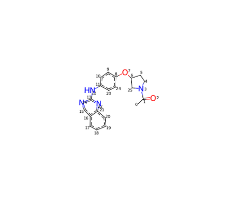 CC(=O)N1CCC(Oc2ccc(Nc3ncc4ccccc4n3)cc2)C1